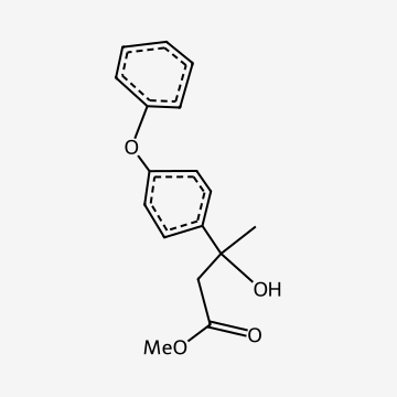 COC(=O)CC(C)(O)c1ccc(Oc2ccccc2)cc1